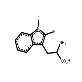 NC(Cc1c(F)n(F)c2ccccc12)C(=O)O